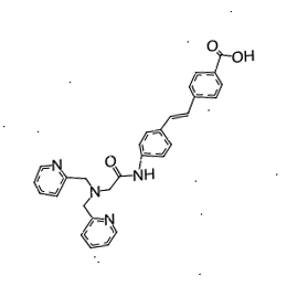 O=C(CN(Cc1ccccn1)Cc1ccccn1)Nc1ccc(C=Cc2ccc(C(=O)O)cc2)cc1